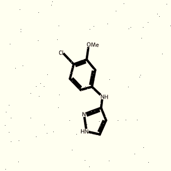 COc1cc(Nc2cc[nH]n2)ccc1Cl